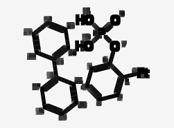 CCc1ccccc1OP(=O)(O)O.c1ccc(-c2ccccc2)cc1